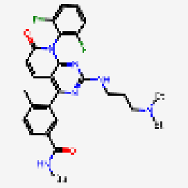 CCC(C)NC(=O)c1ccc(C)c(-c2nc(NCCCN(CC)CC)nc3c2ccc(=O)n3-c2c(F)cccc2F)c1